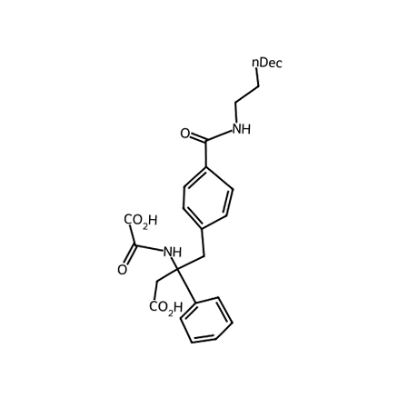 CCCCCCCCCCCCNC(=O)c1ccc(CC(CC(=O)O)(NC(=O)C(=O)O)c2ccccc2)cc1